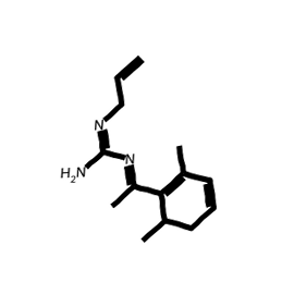 C=CC/N=C(N)\N=C(/C)C1=C(C)C=CCC1C